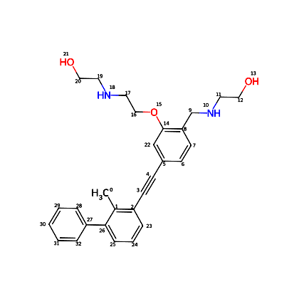 Cc1c(C#Cc2ccc(CNCCO)c(OCCNCCO)c2)cccc1-c1ccccc1